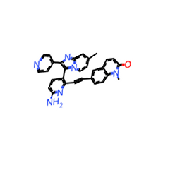 Cc1ccn2c(-c3ccc(N)nc3C#Cc3ccc4c(ccc(=O)n4C)c3)c(-c3ccncc3)nc2c1